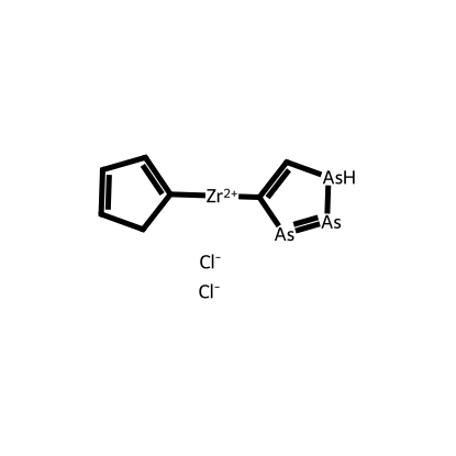 C1=CC[C]([Zr+2][C]2=C[AsH][As]=[As]2)=C1.[Cl-].[Cl-]